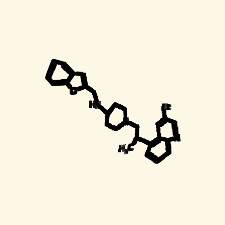 CCc1cnc2cccc(C(C)CN3CCC(NCc4cc5ccccc5o4)CC3)c2c1